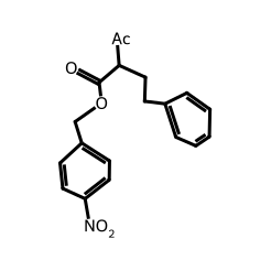 CC(=O)C(CCc1ccccc1)C(=O)OCc1ccc([N+](=O)[O-])cc1